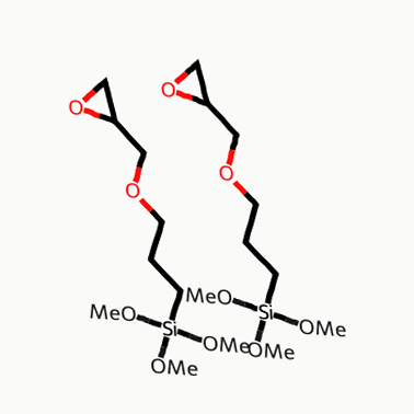 CO[Si](CCCOCC1CO1)(OC)OC.CO[Si](CCCOCC1CO1)(OC)OC